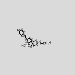 Cl.O=C(O)CCN1CCC2(CC1)COc1cc(C=Cc3ccc(F)cc3)ccc12